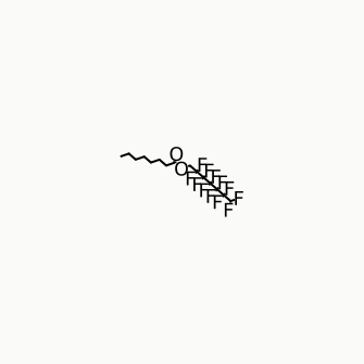 CCCCCCCC(=O)OCC(F)(F)C(F)(F)C(F)(F)C(F)(F)C(F)(F)C(F)F